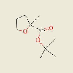 CC(C)(C)OC(=O)C1(C)CCCO1